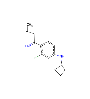 C[CH]CC(=N)c1ccc(NC2CCC2)cc1F